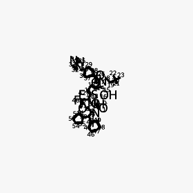 COC(=O)N[C@H](C(=O)N[C@H](c1ccc([C@@H](CO)N(CCC(C)(C)C)S(=O)(=O)c2ccc(-n3ccnn3)cc2)s1)C(F)(F)F)C(c1ccccc1)c1ccccc1